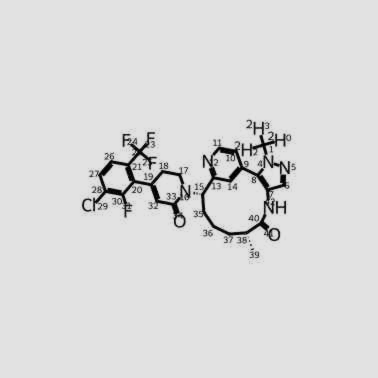 [2H]C([2H])([2H])n1ncc2c1-c1ccnc(c1)[C@@H](N1CCC(c3c(C(F)(F)F)ccc(Cl)c3F)=CC1=O)CCC[C@@H](C)C(=O)N2